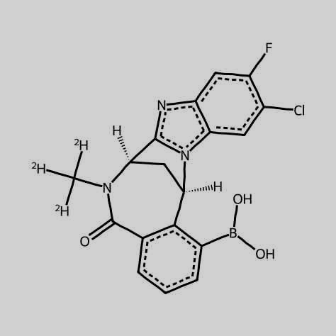 [2H]C([2H])([2H])N1C(=O)c2cccc(B(O)O)c2[C@H]2C[C@@H]1c1nc3cc(F)c(Cl)cc3n12